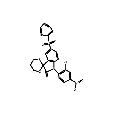 O=C1N(c2ccc([N+](=O)[O-])cc2Cl)c2ccc(S(=O)(=O)c3ccccn3)cc2C12OCCCO2